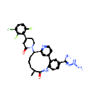 CC1CCCC(N2CCC(c3c(F)ccc(Cl)c3F)=CC2=O)c2cc(ccn2)-c2cc(/C(N)=N/NN)ccc2NC1=O